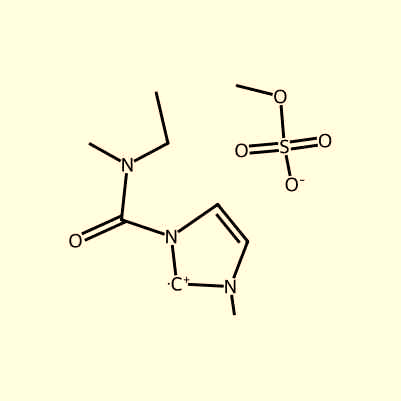 CCN(C)C(=O)N1[C+]N(C)C=C1.COS(=O)(=O)[O-]